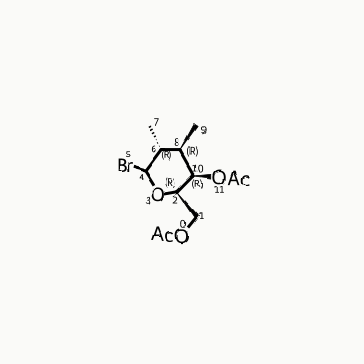 CC(=O)OC[C@H]1OC(Br)[C@H](C)[C@@H](C)[C@H]1OC(C)=O